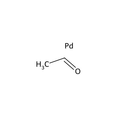 CC=O.[Pd]